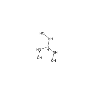 ON[SiH](NO)NO